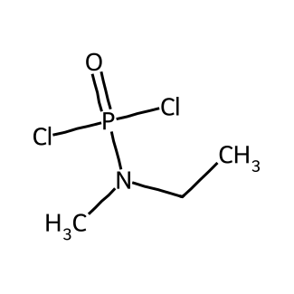 CCN(C)P(=O)(Cl)Cl